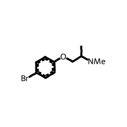 CNC(C)COc1ccc(Br)cc1